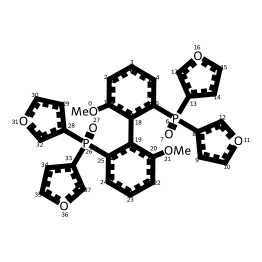 COc1cccc(P(=O)(c2ccoc2)c2ccoc2)c1-c1c(OC)cccc1P(=O)(c1ccoc1)c1ccoc1